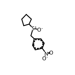 O=[N+]([O-])c1ccc(C[S+]([O-])C2CCCC2)cc1